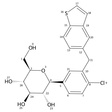 OC[C@H]1O[C@@H](c2ccc(Cl)c(Cc3ccc4sccc4c3)c2)[C@H](O)[C@@H](O)[C@@H]1O